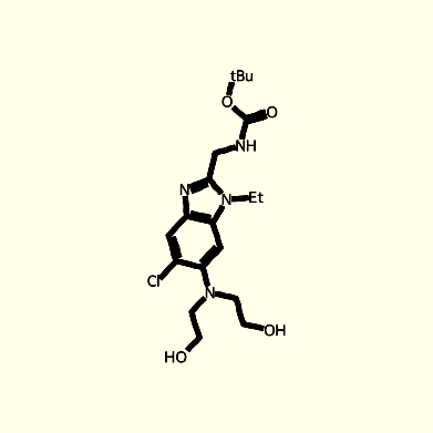 CCn1c(CNC(=O)OC(C)(C)C)nc2cc(Cl)c(N(CCO)CCO)cc21